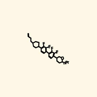 C=CCCC1CCC(c2ccc(-c3ccc(C4CCC(CCC)OC4)c(F)c3F)c(F)c2F)CC1